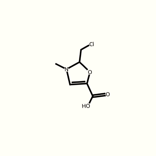 CN1C=C(C(=O)O)OC1CCl